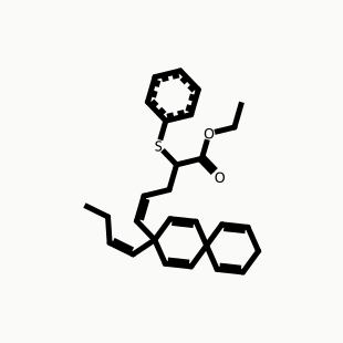 CC/C=C\C1(/C=C\CC(Sc2ccccc2)C(=O)OCC)C=CC2(C=CCC=C2)C=C1